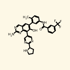 Cc1ccc(NC(=O)c2cccc(C(F)(F)F)c2)cc1-c1cc2cnc(N)nc2c(-c2cnc(C3CCCN3)nc2)c1O